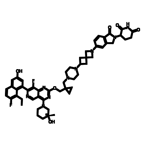 CCc1c(F)ccc2cc(O)cc(-c3ncc4c(N5CCC[C@@](C)(O)C5)nc(OCC5(CN6CCN(C7CC8(C7)CN(c7ccc9c(c7)CN(C7CCC(=O)NC7=O)C9=O)C8)CC6)CC5)nc4c3F)c12